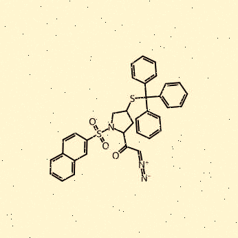 [N-]=[N+]=CC(=O)C1CC(SC(c2ccccc2)(c2ccccc2)c2ccccc2)CN1S(=O)(=O)c1ccc2ccccc2c1